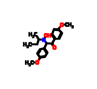 CCC(C)N(O)C(C(=O)c1ccc(OC)cc1)c1ccc(OC)cc1